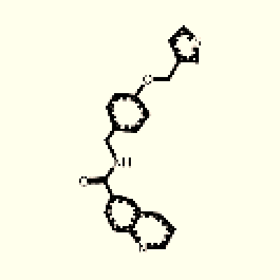 O=C(NCc1ccc(OCc2ccsc2)cc1)c1ccc2ncccc2c1